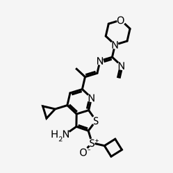 C=N/C(=N\C=C(/C)c1cc(C2CC2)c2c(N)c([S+]([O-])C3CCC3)sc2n1)N1CCOCC1